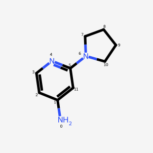 Nc1ccnc(N2CCCC2)c1